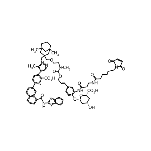 Cc1c(-c2ccc(-c3ccc4cccc(C(=O)Nc5nc6ccccc6s5)c4c3)nc2C(=O)O)cnn1CC1(COCCN(C)C(=O)OC/C=C/c2ccc(O[C@H]3C[C@@H](O)C[C@@H](C(=O)O)O3)c(NC(=O)CCNC(=O)CCCCCN3C(=O)C=CC3=O)c2)CC2(C)CCCC(C)(C2)C1